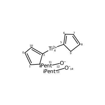 C1=CC[C]([Ti+2][C]2=CC=CC2)=C1.CCCC(C)[O-].CCCC(C)[O-]